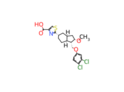 CO[C@H]1C[C@@H]2C[C@@H](c3nc(C(=O)O)cs3)CC[C@@H]2[C@H]1COc1ccc(Cl)c(Cl)c1